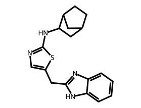 c1ccc2[nH]c(Cc3cnc(NC4CC5CCC4C5)s3)nc2c1